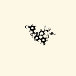 CC(C)(C)OC(=O)NC1CCN(c2c(NC(=O)c3cccc(Cl)c3)cncc2-c2cc(F)cc(Cl)c2)CC1